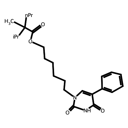 CCCC(C)(C(=O)OCCCCCCn1cc(-c2ccccc2)c(=O)[nH]c1=O)C(C)C